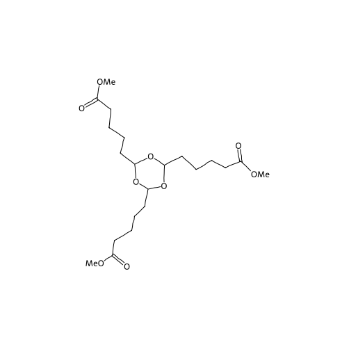 COC(=O)CCCCC1OC(CCCCC(=O)OC)OC(CCCCC(=O)OC)O1